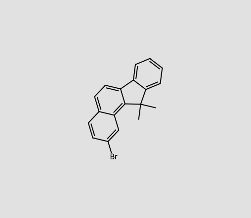 CC1(C)c2ccccc2-c2ccc3ccc(Br)cc3c21